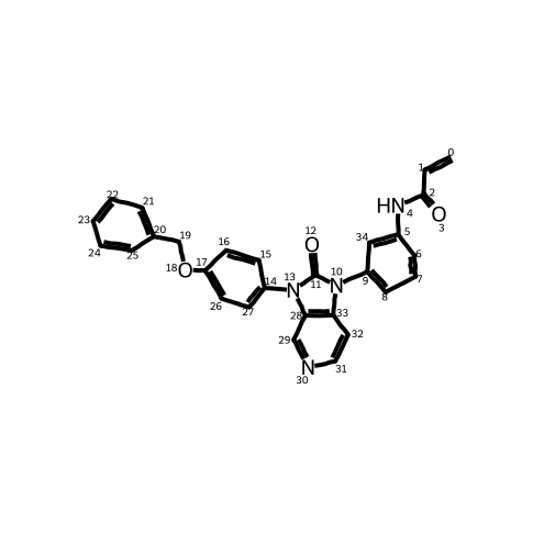 C=CC(=O)Nc1cccc(-n2c(=O)n(-c3ccc(OCc4ccccc4)cc3)c3cnccc32)c1